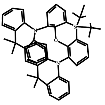 CC1(C)c2ccccc2N(c2cccc3c2Oc2c(N4c5ccccc5C(C)(C)c5ccccc54)cccc2[Si]3(C(C)(C)C)C(C)(C)C)c2ccccc21